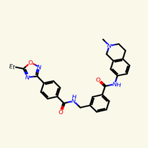 CCc1nc(-c2ccc(C(=O)NCc3cccc(C(=O)Nc4ccc5c(c4)CN(C)CC5)c3)cc2)no1